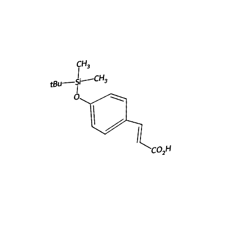 CC(C)(C)[Si](C)(C)Oc1ccc(C=CC(=O)O)cc1